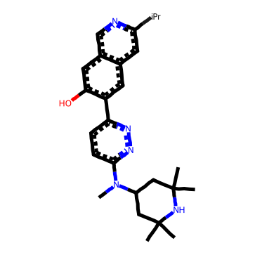 CC(C)c1cc2cc(-c3ccc(N(C)C4CC(C)(C)NC(C)(C)C4)nn3)c(O)cc2cn1